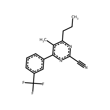 CCCc1nc(C#N)nc(-c2cccc(C(F)(F)F)c2)c1C